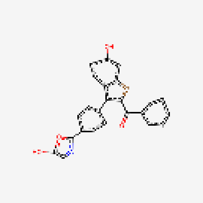 O=C(c1ccccc1)c1sc2cc(O)ccc2c1-c1ccc(-c2ncc(O)o2)cc1